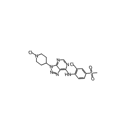 CS(=O)(=O)c1ccc(Nc2ncnc3c2nnn3C2CCN(Cl)CC2)c(Cl)c1